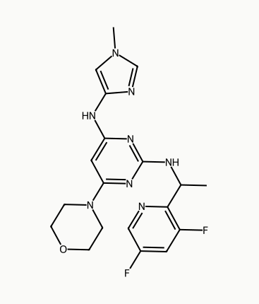 CC(Nc1nc(Nc2cn(C)cn2)cc(N2CCOCC2)n1)c1ncc(F)cc1F